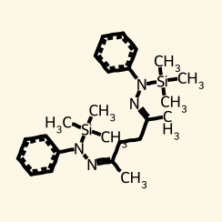 CC(CCC(C)=NN(c1ccccc1)[Si](C)(C)C)=NN(c1ccccc1)[Si](C)(C)C